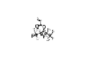 C=CC(=O)OC(C(F)(F)C(C)(C)F)C(F)(F)C(C)(C)F